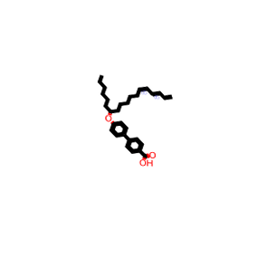 C=C/C=C/C=C\CCCCCC(CCCCCC)Oc1ccc(-c2ccc(C(=O)O)cc2)cc1